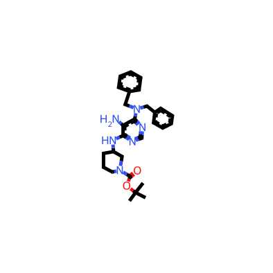 CC(C)(C)OC(=O)N1CCCC(Nc2ncnc(N(Cc3ccccc3)Cc3ccccc3)c2N)C1